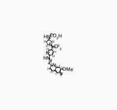 COc1cc2nc(C=NNc3ccc([C@@H](N4CCC(NC(=O)O)C4)C(F)(F)F)cn3)ccc2cc1F